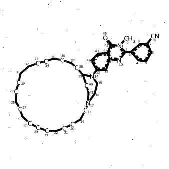 Cn1c(-c2cccc(C#N)c2)nc2cc(N3CCN4CCCCCCCCCCCCCCCCCCCCCC3CC4)ccc2c1=O